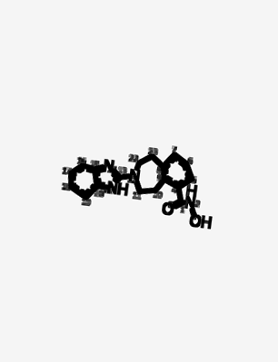 O=C(NO)c1cccc2c1CCN(c1nc3ccccc3[nH]1)CC2